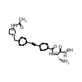 CC(=O)N[C@H]1CCN(Cc2ccc(C#Cc3ccc(C(=O)N[C@@H](CN)C(=O)NO)cc3)cc2)C1